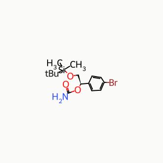 CC(C)(C)[Si](C)(C)OC[C@H](OC(N)=O)c1ccc(Br)cc1